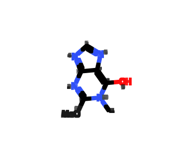 COc1nc2ncnc-2c(O)n1C